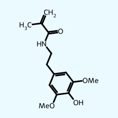 C=C(C)C(=O)NCCc1cc(OC)c(O)c(OC)c1